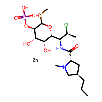 CCC[C@@H]1C[C@@H](C(=O)N[C@@H]([C@H]2O[C@H](SC)[C@H](OP(=O)(O)O)[C@@H](O)[C@H]2O)[C@H](C)Cl)N(C)C1.[Zn]